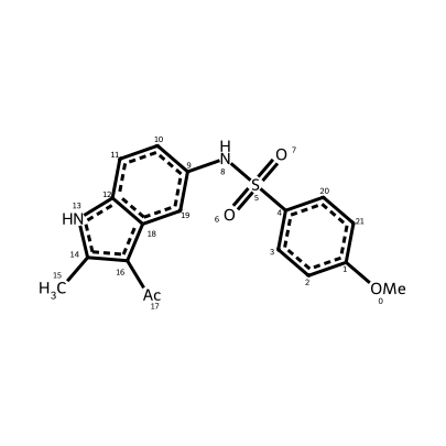 COc1ccc(S(=O)(=O)Nc2ccc3[nH]c(C)c(C(C)=O)c3c2)cc1